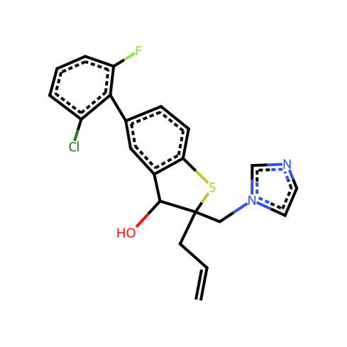 C=CCC1(Cn2ccnc2)Sc2ccc(-c3c(F)cccc3Cl)cc2C1O